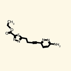 CCOC(=O)c1nnc(CCC#Cc2ccc(N)nn2)s1